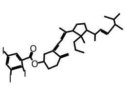 C=C1CCC(OC(=O)c2cc(I)cc(I)c2I)C/C1=C/C=C(\C)C1CCC(C(C)/C=C/C(C)C(C)C)C1(C)CCC